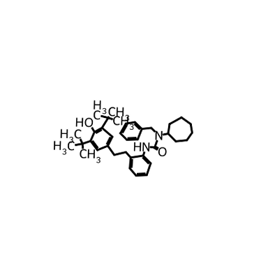 CC(C)(C)c1cc(CCc2ccccc2NC(=O)N(Cc2ccccc2)C2CCCCCC2)cc(C(C)(C)C)c1O